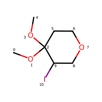 COC1(OC)CCOCC1I